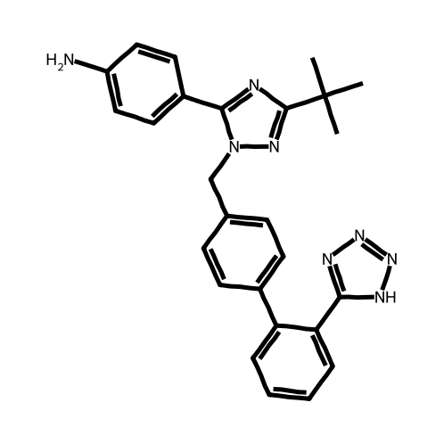 CC(C)(C)c1nc(-c2ccc(N)cc2)n(Cc2ccc(-c3ccccc3-c3nnn[nH]3)cc2)n1